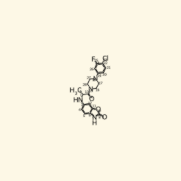 CC(Nc1ccc2[nH]c(=O)oc2c1)C(=O)N1CCN(c2ccc(Cl)c(F)c2)CC1